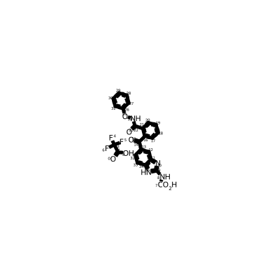 O=C(O)C(F)(F)F.O=C(O)Nc1nc2cc(C(=O)c3ccccc3C(=O)NOc3ccccc3)ccc2[nH]1